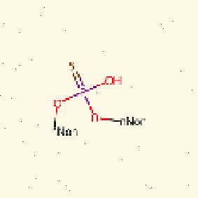 CCCCCCCCCOP(O)(=S)OCCCCCCCCC